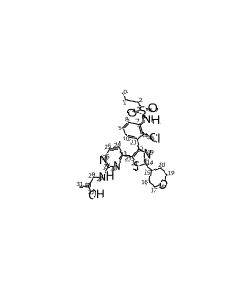 CCCS(=O)(=O)Nc1cccc(-c2nc(C3CCOCC3)sc2-c2ccnc(NC[C@H](C)O)n2)c1Cl